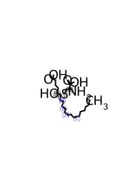 CCCCC/C=C\C\C=C/C=C/C=C/[C@H](SC[C@H](N)C(=O)O)[C@H](O)CCCC(=O)O